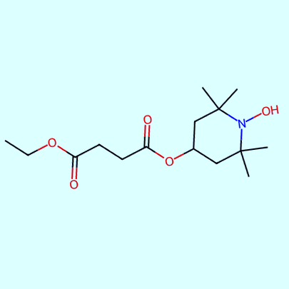 CCOC(=O)CCC(=O)OC1CC(C)(C)N(O)C(C)(C)C1